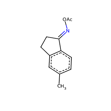 CC(=O)O/N=C1\CCc2cc(C)ccc21